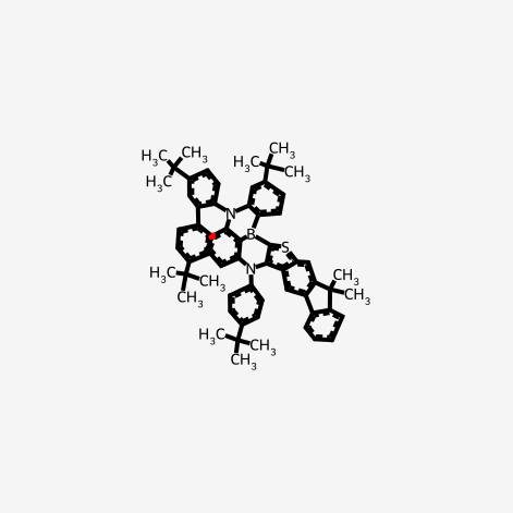 CC(C)(C)c1ccc(-c2cc(C(C)(C)C)ccc2N2c3cc(C(C)(C)C)ccc3B3c4sc5cc6c(cc5c4N(c4ccc(C(C)(C)C)cc4)c4cccc2c43)-c2ccccc2C6(C)C)cc1